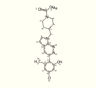 COC(=O)N1CCC(Cn2ccc3cc(-c4c(C)cc(Cl)cc4O)nnc32)CC1